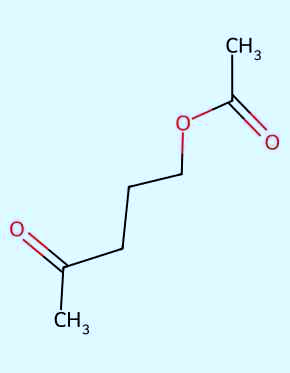 CC(=O)CCCOC(C)=O